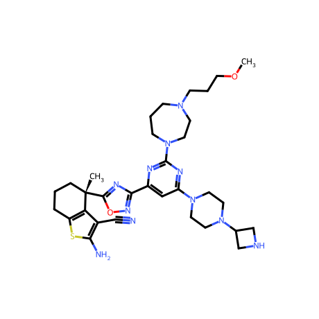 COCCCN1CCCN(c2nc(-c3noc([C@@]4(C)CCCc5sc(N)c(C#N)c54)n3)cc(N3CCN(C4CNC4)CC3)n2)CC1